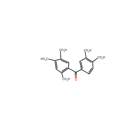 O=C(O)c1ccc(C(=O)c2cc(C(=O)O)c(C(=O)O)cc2C(=O)O)cc1C(=O)O